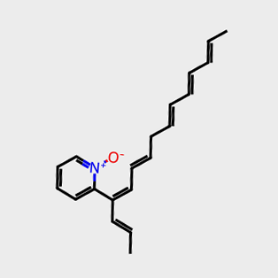 C/C=C/C=C/C=C/C/C=C/C=C(/C=C/C)c1cccc[n+]1[O-]